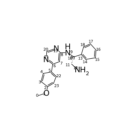 COc1ccc(-c2cc(N[C@@H](CN)c3ccccc3)ncn2)cc1